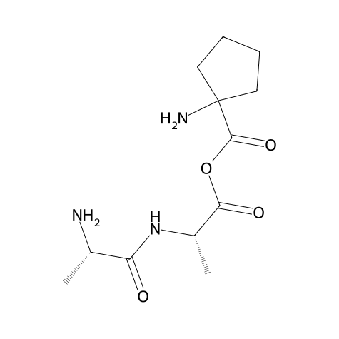 C[C@H](N)C(=O)N[C@@H](C)C(=O)OC(=O)C1(N)CCCC1